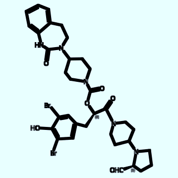 O=C[C@@H]1CCCN1C1CCN(C(=O)[C@@H](Cc2cc(Br)c(O)c(Br)c2)OC(=O)N2CCC(N3CCc4ccccc4NC3=O)CC2)CC1